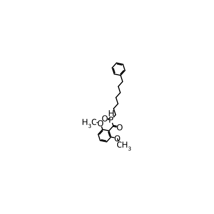 COc1cccc(OC)c1C(=O)[PH](=O)CCCCCCCc1ccccc1